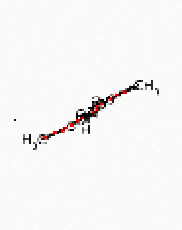 CCCCCCCCCCCCSCCCOC(=O)NCCN1CCN(C(=O)OCCCSCCCCCCCCCCCC)CC1